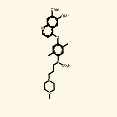 COc1cc2nccc(Oc3cc(C)c(N(CCCN4CCN(C)CC4)C(=O)O)cc3C)c2cc1OC